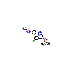 Cc1nnc([C@H]2CC[C@H](c3nnc4n3-c3ccc(Cl)cc3CN(C(=O)OC(C)(C)C)C4)CC2)o1